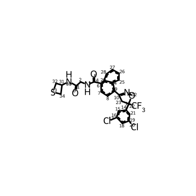 O=C(CNC(=O)c1ccc(C2=NOC(c3cc(Cl)cc(Cl)c3)(C(F)(F)F)C2)c2ccccc12)NC1CSC1